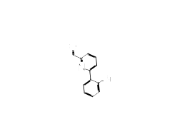 O=Cc1cccc(-c2ccccc2Br)n1